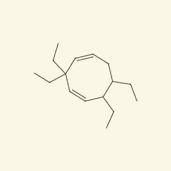 CCC1C=CC(CC)(CC)C=CCC1CC